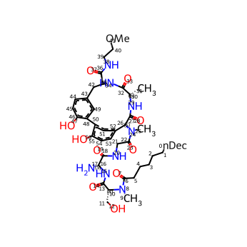 CCCCCCCCCCCCCCCC(=O)N(C)[C@H](CO)C(=O)N[C@H](N)C(=O)NCC(=O)N(C)[C@@H]1C(=O)N[C@@H](C)C(=O)N[C@H](C(=O)NCCOC)Cc2ccc(O)c(c2)-c2cc1ccc2O